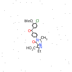 CCc1nn2c(c1C(=O)O)C(=O)N(c1ccc(C(=O)c3ccc(Cl)c(OC)c3)cc1)C(C)C2